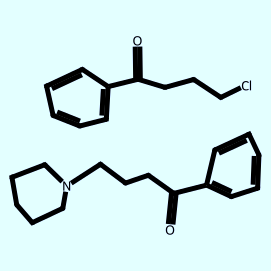 O=C(CCCCl)c1ccccc1.O=C(CCCN1CCCCC1)c1ccccc1